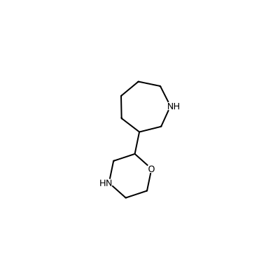 C1CCC(C2CNCCO2)CNC1